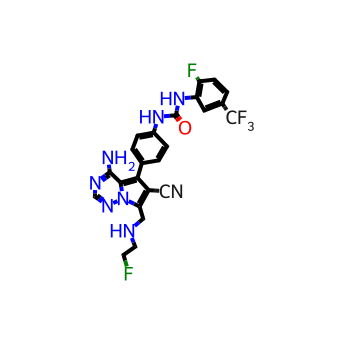 N#Cc1c(-c2ccc(NC(=O)Nc3cc(C(F)(F)F)ccc3F)cc2)c2c(N)ncnn2c1CNCCF